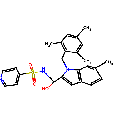 Cc1cc(C)c(Cn2c(C(O)NS(=O)(=O)c3ccncc3)cc3ccc(C)cc32)c(C)c1